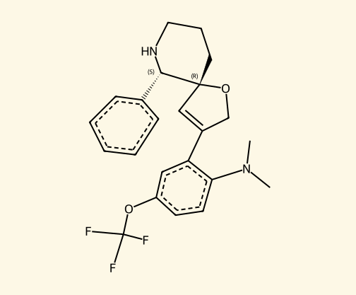 CN(C)c1ccc(OC(F)(F)F)cc1C1=C[C@@]2(CCCN[C@H]2c2ccccc2)OC1